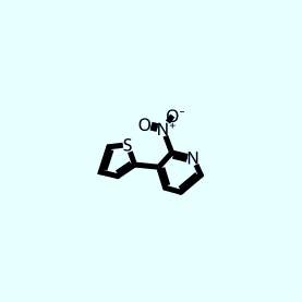 O=[N+]([O-])c1ncccc1-c1cccs1